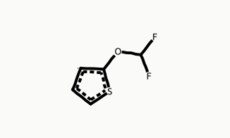 FC(F)Oc1[c]ccs1